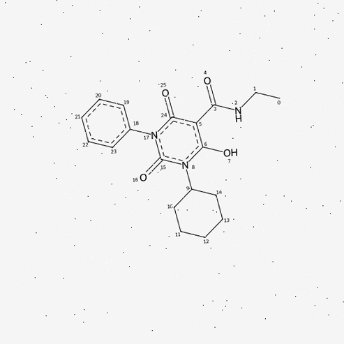 CCNC(=O)c1c(O)n(C2CCCCC2)c(=O)n(-c2ccccc2)c1=O